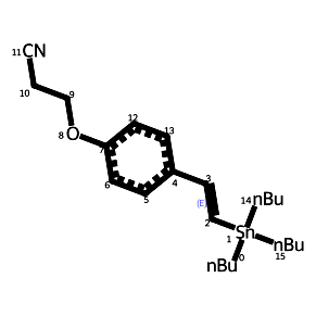 CCC[CH2][Sn](/[CH]=C/c1ccc(OCCC#N)cc1)([CH2]CCC)[CH2]CCC